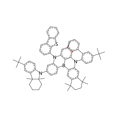 Cc1cc2c3c(c1)N(c1cccc4c1sc1ccccc14)c1cc(N4c5ccc(C(C)(C)C)cc5C5(C)CCCCC45C)ccc1B3c1cc3c(cc1N2c1ccc(C(C)(C)C)cc1-c1ccccc1)C(C)(C)CCC3(C)C